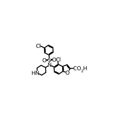 O=C(O)c1cc2c(Cl)c(N(C3CCNCC3)S(=O)(=O)c3cccc(Cl)c3)ccc2o1